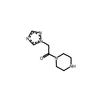 O=C(Cn1cncn1)N1CCNCC1